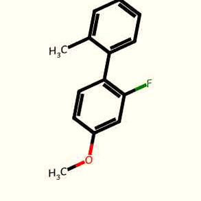 COc1ccc(-c2ccccc2C)c(F)c1